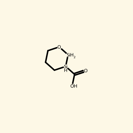 O=C(O)[SiH]1CCCO[SiH2]1